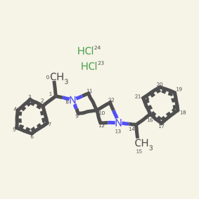 CC(c1ccccc1)N1CC2(C1)CN(C(C)c1ccccc1)C2.Cl.Cl